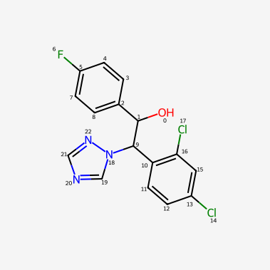 OC(c1ccc(F)cc1)C(c1ccc(Cl)cc1Cl)n1cncn1